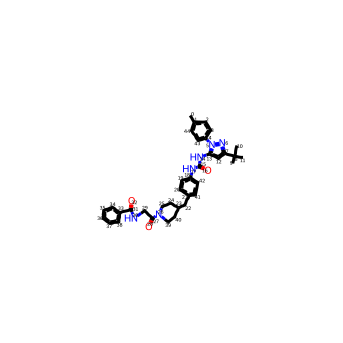 Cc1ccc(-n2nc(C(C)(C)C)cc2NC(=O)Nc2ccc(CC3CCN(C(=O)CNC(=O)c4ccccc4)CC3)cc2)cc1